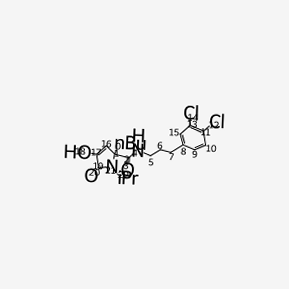 CCCCC1(C(=O)NCCCc2ccc(Cl)c(Cl)c2)C=C(O)C(=O)N1C(C)C